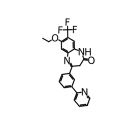 CCOc1cc2c(cc1C(F)(F)F)NC(=O)CC(c1cccc(-c3ccccn3)c1)=N2